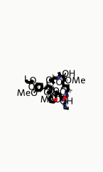 C\C=C/C=C/C=C/[C@@H](C)C[C@@H](C)C(=O)[C@H](OC)[C@H](O)/C(C)=C/[C@@H](C)C(=O)C[C@H](OC(=O)[C@@H]1CCCCN1C(=O)C(=O)[C@](C)(O)OC)[C@H](C)C[C@@H]1CC[C@@H](OC(=O)CI)[C@H](OC)C1